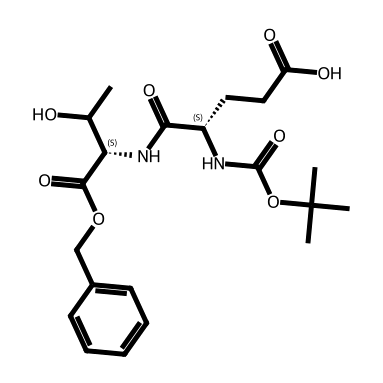 CC(O)[C@H](NC(=O)[C@H](CCC(=O)O)NC(=O)OC(C)(C)C)C(=O)OCc1ccccc1